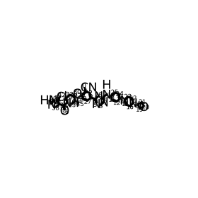 N#Cc1cc(-c2ncnc(Nc3ccc(N4CCN(C5COC5)CC4)cc3)n2)ccc1O[C@H]1CCN(C(=O)c2cn[nH]c2Cl)C[C@@H]1F